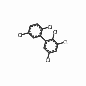 Clc1ccc(Cl)c(-c2cc(Cl)cc(Cl)c2Cl)c1